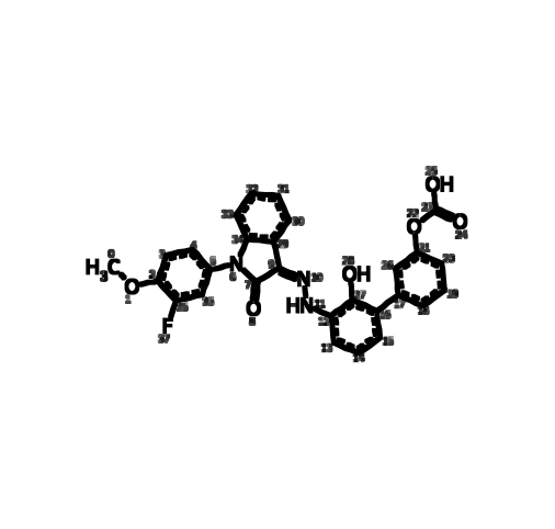 COc1ccc(N2C(=O)C(=NNc3cccc(-c4cccc(OC(=O)O)c4)c3O)c3ccccc32)cc1F